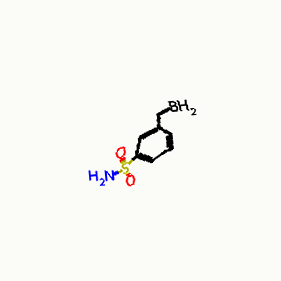 BCc1cccc(S(N)(=O)=O)c1